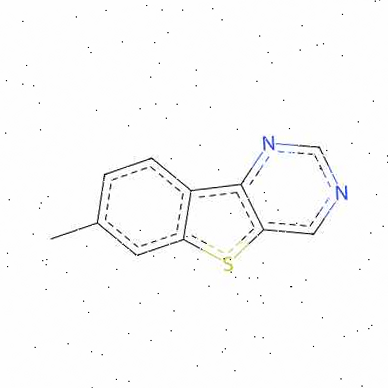 Cc1ccc2c(c1)sc1cncnc12